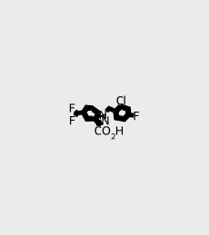 O=C(O)c1nn(Cc2ccc(F)cc2Cl)c2ccc(C(F)F)cc12